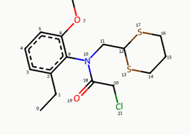 CCc1cccc(OC)c1N(CC1SCCCS1)C(=O)CCl